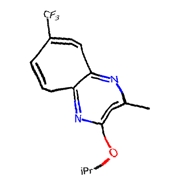 Cc1nc2cc(C(F)(F)F)ccc2nc1OC(C)C